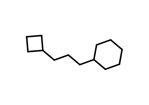 C1CCC(CCCC2CCC2)CC1